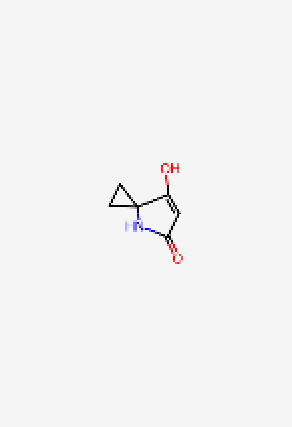 O=C1C=C(O)C2(CC2)N1